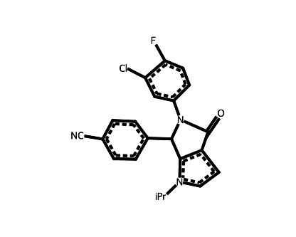 CC(C)n1ccc2c1C(c1ccc(C#N)cc1)N(c1ccc(F)c(Cl)c1)C2=O